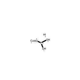 I.OP(O)O.[Cu]